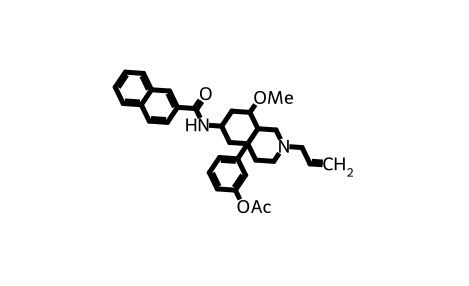 C=CCN1CCC2(c3cccc(OC(C)=O)c3)CC(NC(=O)c3ccc4ccccc4c3)CC(OC)C2C1